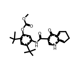 COC(=O)Oc1cc(NC(=O)c2c[nH]c3c(c2=O)=CCCC=3)c(C(C)(C)C)cc1C(C)(C)C